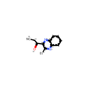 CCc1nc2ccccc2nc1C(=O)CC#N